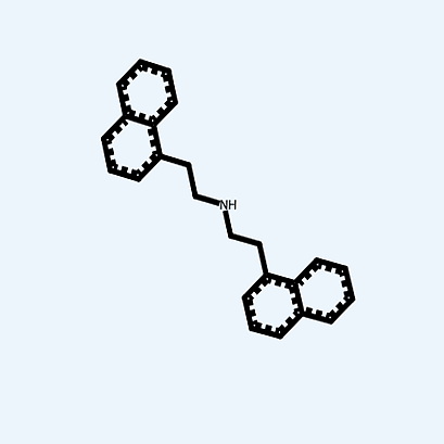 c1ccc2c(CCNCCc3cccc4ccccc34)cccc2c1